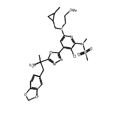 COCCN(CC1CC1C)c1cc(-c2nnc(C(C)(N)Cc3ccc4c(c3)OCO4)o2)c(Cl)c(N(C)S(C)(=O)=O)n1